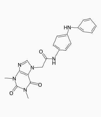 Cn1c(=O)c2c(ncn2CC(=O)Nc2ccc(Nc3ccccc3)cc2)n(C)c1=O